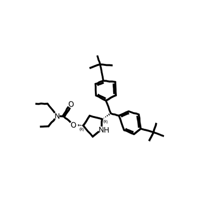 CCN(CC)C(=O)O[C@H]1CN[C@@H](C(c2ccc(C(C)(C)C)cc2)c2ccc(C(C)(C)C)cc2)C1